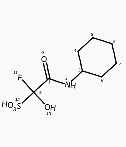 O=C(NC1CCCCC1)C(O)(F)S(=O)(=O)O